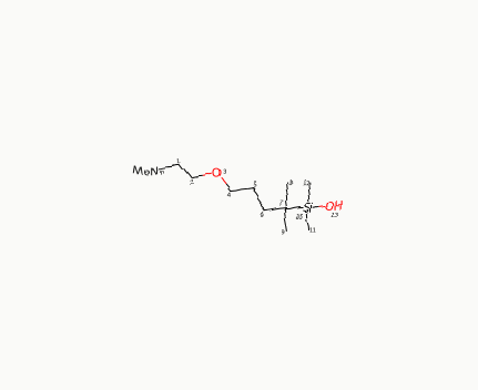 CNCCOCCCC(C)(C)[Si](C)(C)O